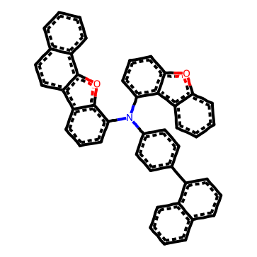 c1ccc2c(-c3ccc(N(c4cccc5c4oc4c6ccccc6ccc54)c4cccc5oc6ccccc6c45)cc3)cccc2c1